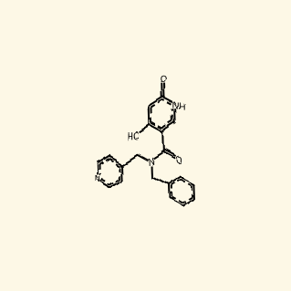 O=C(c1c[nH]c(=O)cc1O)N(Cc1ccccc1)Cc1ccncc1